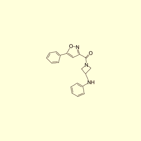 O=C(c1cc(-c2ccccc2)on1)N1CC(Nc2ccccc2)C1